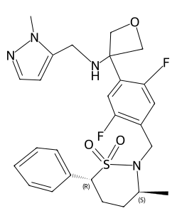 C[C@H]1CC[C@H](c2ccccc2)S(=O)(=O)N1Cc1cc(F)c(C2(NCc3ccnn3C)COC2)cc1F